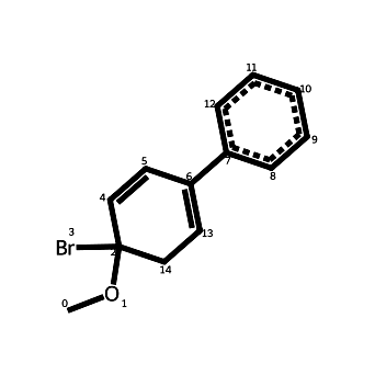 COC1(Br)C=CC(c2ccccc2)=CC1